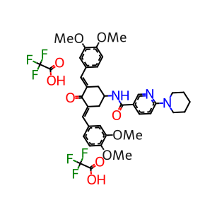 COc1ccc(/C=C2\CC(NC(=O)c3ccc(N4CCCCC4)nc3)C/C(=C\c3ccc(OC)c(OC)c3)C2=O)cc1OC.O=C(O)C(F)(F)F.O=C(O)C(F)(F)F